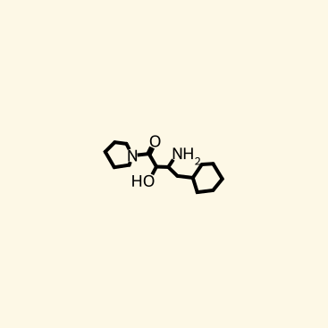 NC(CC1CCCCC1)C(O)C(=O)N1CCCCC1